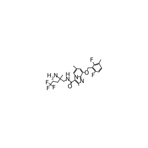 Cc1cc(OCc2c(F)ccc(C)c2F)c2nc(C)c(C(=O)NCC(C)(N)CCC(F)(F)F)n2c1